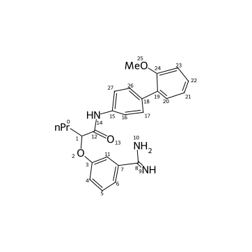 CCCC(Oc1cccc(C(=N)N)c1)C(=O)Nc1ccc(-c2ccccc2OC)cc1